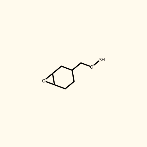 SOCC1CCC2OC2C1